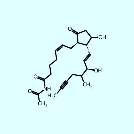 CC#CCC(C)[C@H](O)/C=C/[C@H]1[C@H](O)CC(=O)[C@@H]1C/C=C\CCCC(=O)NC(C)=O